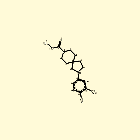 CC(C)(C)OC(=O)N1CCC2(CC1)CCN(c1cnc(Cl)c(C(F)(F)F)n1)C2